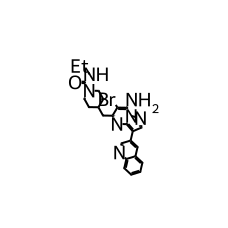 CCNC(=O)N1CCC(Cc2nc3c(-c4cnc5ccccc5c4)cnn3c(N)c2Br)CC1